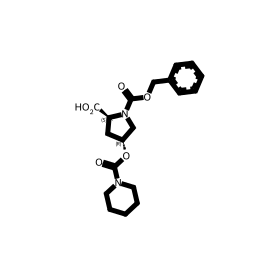 O=C(O)[C@@H]1C[C@@H](OC(=O)N2CCCCC2)CN1C(=O)OCc1ccccc1